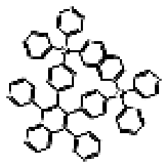 c1ccc(-c2c(-c3ccc([Si](c4ccccc4)(c4ccccc4)c4ccccc4)cc3)c(-c3ccc([Si](c4ccccc4)(c4ccccc4)c4ccccc4)cc3)c(-c3ccccc3)c3ccccc23)cc1